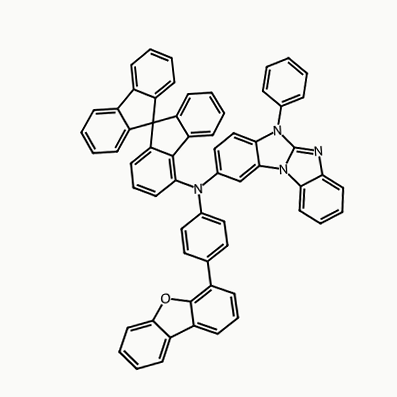 c1ccc(-n2c3ccc(N(c4ccc(-c5cccc6c5oc5ccccc56)cc4)c4cccc5c4-c4ccccc4C54c5ccccc5-c5ccccc54)cc3n3c4ccccc4nc23)cc1